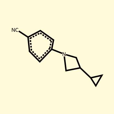 N#Cc1ccc(N2CC(C3CC3)C2)cc1